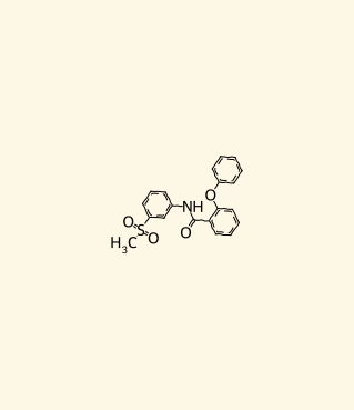 CS(=O)(=O)c1cccc(NC(=O)c2ccccc2Oc2ccccc2)c1